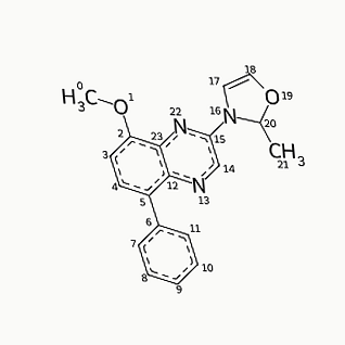 COc1ccc(-c2ccccc2)c2ncc(N3C=COC3C)nc12